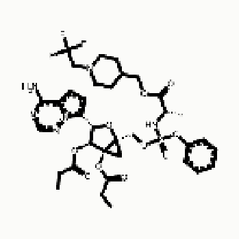 CCC(=O)O[C@H]1[C@H](c2ccc3c(N)ncnn23)O[C@@]2(COP(=O)(N[C@@H](C)C(=O)OCC3CCN(CC(F)(F)F)CC3)Oc3ccccc3)C[C@]12OC(=O)CC